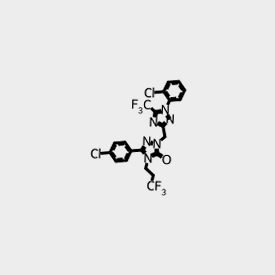 O=c1n(Cc2nc(C(F)(F)F)n(-c3ccccc3Cl)n2)nc(-c2ccc(Cl)cc2)n1CCC(F)(F)F